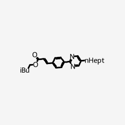 CCCCCCCc1cnc(-c2ccc(C=CC(=O)OCC(C)CC)cc2)nc1